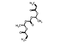 C=CC(=O)OC(C)OC(=O)OC(C)OC(=O)C=C